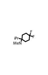 CNC1(C(C)C)CCC(F)(F)CC1